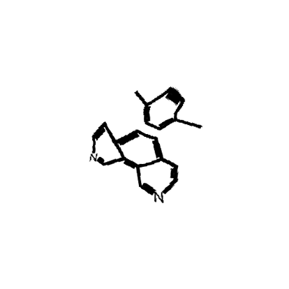 Cc1ccc(C)cc1.c1cc2ccc3ccncc3c2cn1